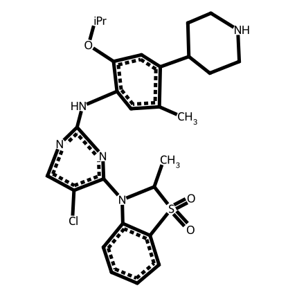 Cc1cc(Nc2ncc(Cl)c(N3c4ccccc4S(=O)(=O)C3C)n2)c(OC(C)C)cc1C1CCNCC1